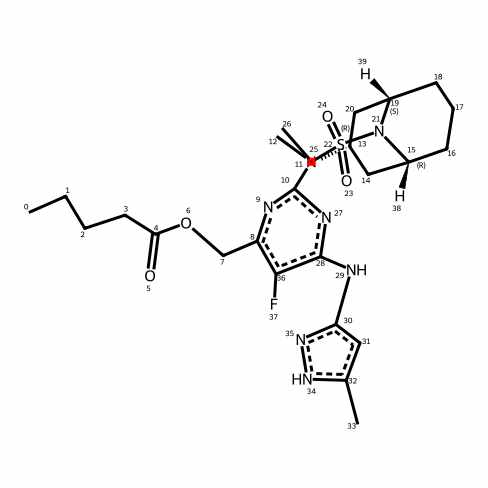 CCCCC(=O)OCc1nc(N(C)[C@H]2C[C@H]3CCC[C@@H](C2)N3S(=O)(=O)CC)nc(Nc2cc(C)[nH]n2)c1F